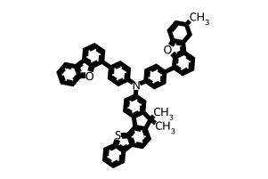 CC1C=Cc2oc3c(-c4ccc(N(c5ccc(-c6cccc7c6oc6ccccc67)cc5)c5ccc6c(c5)C(C)(C)c5ccc7c(sc8ccccc87)c5-6)cc4)cccc3c2C1